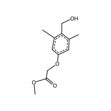 COC(=O)COc1cc(C)c(CO)c(C)c1